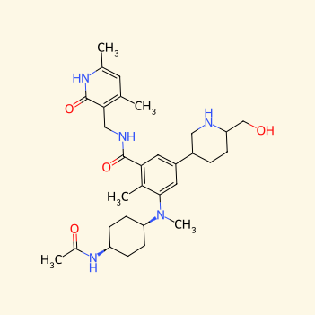 CC(=O)N[C@H]1CC[C@@H](N(C)c2cc(C3CCC(CO)NC3)cc(C(=O)NCc3c(C)cc(C)[nH]c3=O)c2C)CC1